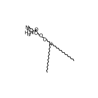 CCCCCCCCCCCCCCCCN(CCCCCCCCCCCCCCCC)CCCOCCOCCOC(=O)C(N)Cc1cnc[nH]1